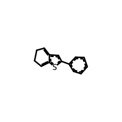 C1=c2cc(-c3ccccc3)sc2=CCC1